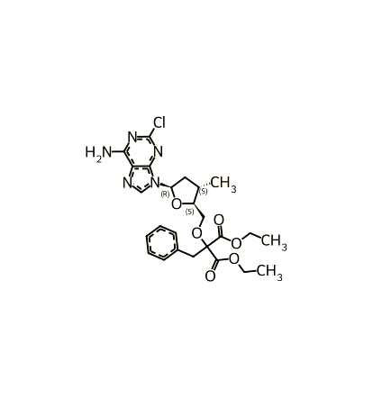 CCOC(=O)C(Cc1ccccc1)(OC[C@H]1O[C@@H](n2cnc3c(N)nc(Cl)nc32)C[C@@H]1C)C(=O)OCC